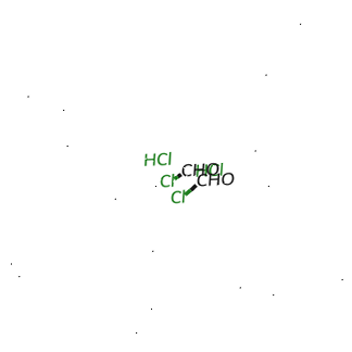 Cl.Cl.O=CCl.O=CCl